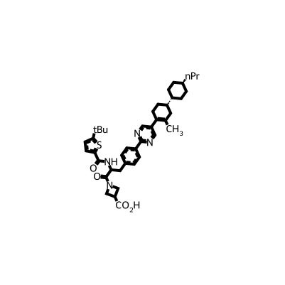 CCC[C@H]1CC[C@H](C2CCC(c3cnc(-c4ccc(CC(NC(=O)c5ccc(C(C)(C)C)s5)C(=O)N5CC(C(=O)O)C5)cc4)nc3)=C(C)C2)CC1